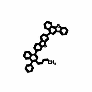 C/C=C\C=C/c1cc(-c2ccc3c(c2)sc2cc(-c4cc5c6ccccc6sc5c5ccccc45)ccc23)c2ccccc2c1-c1ccccc1